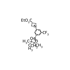 CCOC(=O)C1CN(c2cc(B3OC(C)(C)C(C)(C)O3)cc(C(F)(F)F)c2)C1